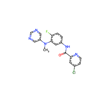 CN(c1cncnc1)c1cc(NC(=O)c2cc(Cl)ccn2)ccc1F